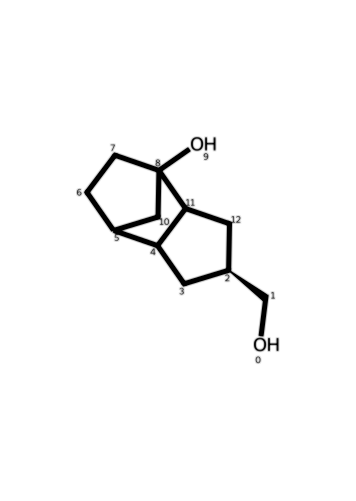 OC[C@H]1CC2C3CCC(O)(C3)C2C1